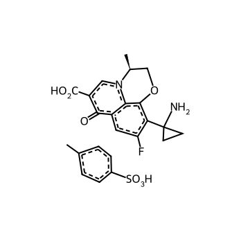 C[C@H]1COc2c(C3(N)CC3)c(F)cc3c(=O)c(C(=O)O)cn1c23.Cc1ccc(S(=O)(=O)O)cc1